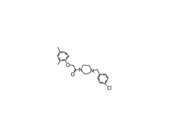 Cc1ccc(OCC(=O)N2CCN(Cc3ccc(Cl)cc3)CC2)c(C)c1